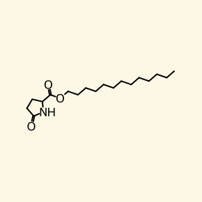 CCCCCCCCCCCCCOC(=O)C1CCC(=O)N1